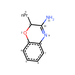 CCCC1Oc2ccccc2N=C1N